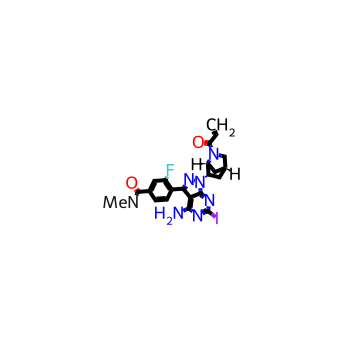 C=CC(=O)N1C[C@@H]2C[C@H]1[C@@H](n1nc(-c3ccc(C(=O)NC)cc3F)c3c(N)nc(I)nc31)C2